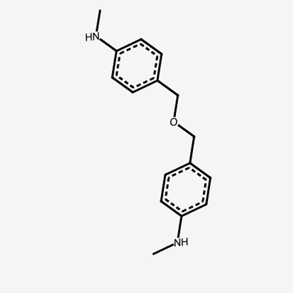 CNc1ccc(COCc2ccc(NC)cc2)cc1